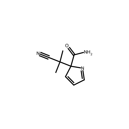 CC(C)(C#N)C1(C(N)=O)C=CC=N1